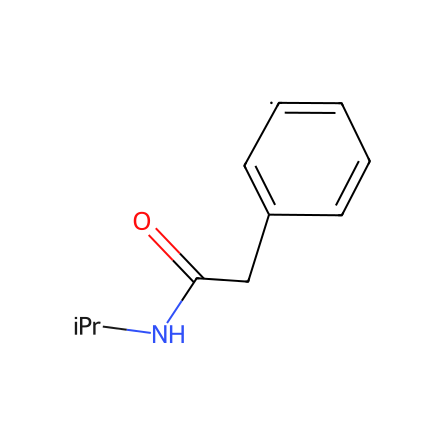 CC(C)NC(=O)Cc1c[c]ccc1